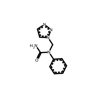 NC(=O)N(Cn1ccnn1)c1ccccc1